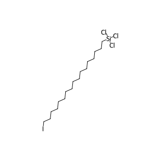 Cl[Si](Cl)(Cl)CCCCCCCCCCCCCCCCCI